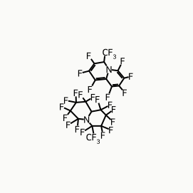 FC(F)(F)C1(F)N2C(C(F)(F)C(F)(F)C(F)(F)C2(F)F)C(F)(F)C(F)(F)C1(F)F.FC1=C(F)C2=C(F)C(F)=C(F)C(C(F)(F)F)N2C(F)=C1F